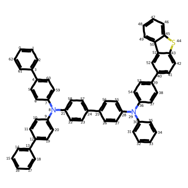 c1ccc(-c2ccc(N(c3ccc(-c4ccccc4)cc3)c3ccc(-c4ccc(N(c5ccccc5)c5ccc(-c6ccc7sc8ccccc8c7c6)cc5)cc4)cc3)cc2)cc1